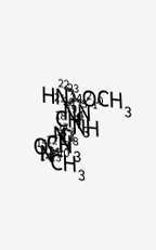 CCOc1nc(Nc2cn(CC(C)(C)N=O)nc2C)nc2[nH]ccc12